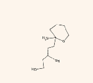 OCCC(O)CCC1([SiH3])CCCCO1